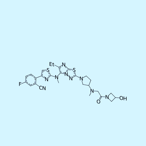 CCc1nc2sc(N3CCC(N(C)CC(=O)N4CC(O)C4)C3)nn2c1N(C)c1nc(-c2ccc(F)cc2C#N)cs1